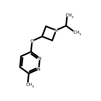 Cc1ccc(OC2CN(C(C)C)C2)nn1